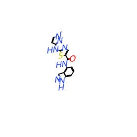 Cn1ccc(Nc2ncc(C(=O)Nc3cccc4[nH]ncc34)s2)n1